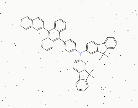 CC1(C)c2ccccc2-c2ccc(N(c3ccc(-c4c5ccccc5c(-c5ccc6ccccc6c5)c5ccccc45)cc3)c3ccc4c(c3)C(C)(C)c3ccccc3-4)cc21